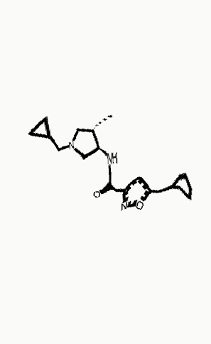 C[C@H]1CN(CC2CC2)C[C@@H]1NC(=O)c1cc(C2CC2)on1